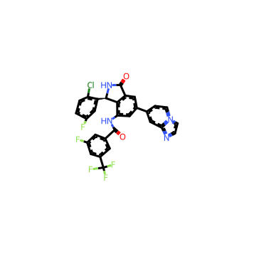 O=C(Nc1cc(-c2ccn3ccnc3c2)cc2c1[C@@H](c1cc(F)ccc1Cl)NC2=O)c1cc(F)cc(C(F)(F)F)c1